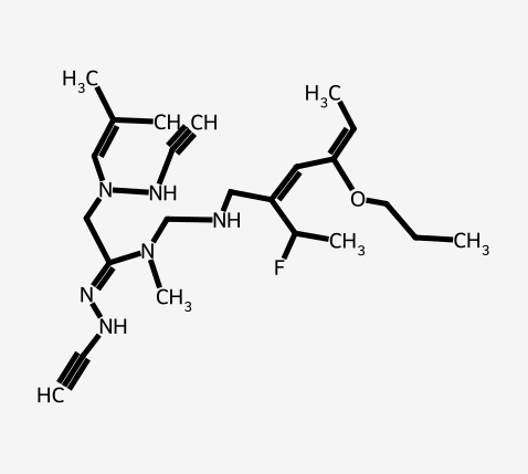 C#CN/N=C(/CN(C=C(C)C)NC#C)N(C)CNC/C(=C/C(=C\C)OCCC)C(C)F